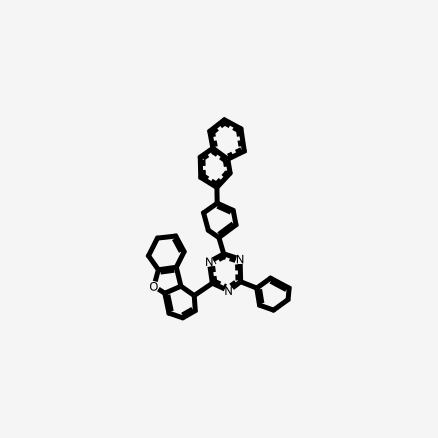 C1=CC(c2nc(C3=CCCC=C3)nc(C3=CC=C(c4ccc5ccccc5c4)CC3)n2)C2C(=C1)OC1=C2C=CCC1